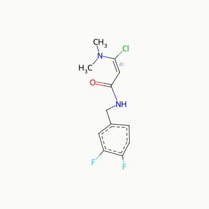 CN(C)/C(Cl)=C\C(=O)NCc1ccc(F)c(F)c1